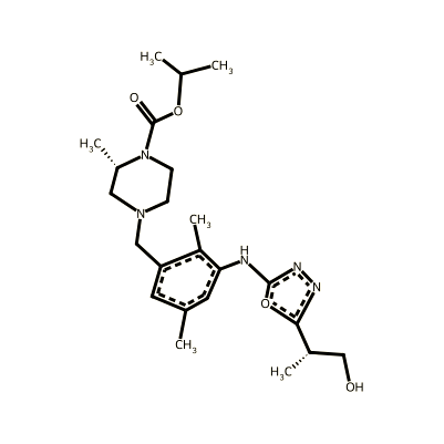 Cc1cc(CN2CCN(C(=O)OC(C)C)[C@@H](C)C2)c(C)c(Nc2nnc([C@@H](C)CO)o2)c1